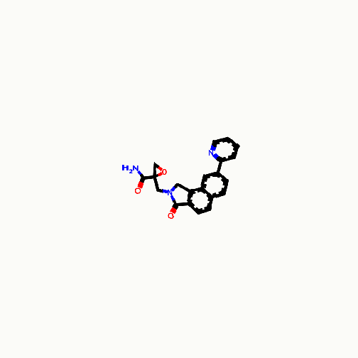 NC(=O)C1(CN2Cc3c(ccc4ccc(-c5ccccn5)cc34)C2=O)CO1